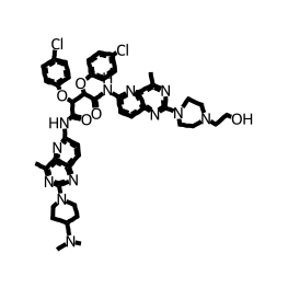 Cc1nc(N2CCC(N(C)C)CC2)nc2ccc(NC(=O)C(Oc3ccc(Cl)cc3)C(Oc3ccc(Cl)cc3)C(=O)Nc3ccc4nc(N5CCN(CCO)CC5)nc(C)c4n3)nc12